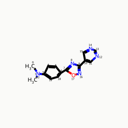 CN(C)c1ccc(-c2nc(-c3cncnc3)no2)cc1